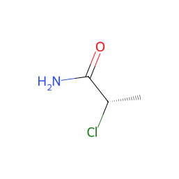 C[C@H](Cl)C(N)=O